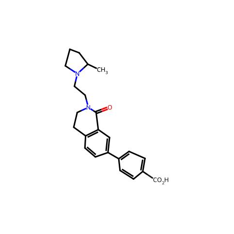 CC1CCCN1CCN1CCc2ccc(-c3ccc(C(=O)O)cc3)cc2C1=O